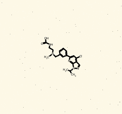 CC(C)n1ncc2c(Cl)cc(-c3cccc(CN(C)CCNC(=O)O)c3)nc21